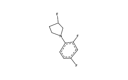 Fc1ccc(N2CCC(F)C2)c(F)c1